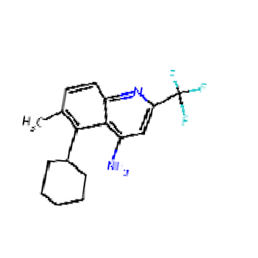 Cc1ccc2nc(C(F)(F)F)cc(N)c2c1C1CCCCC1